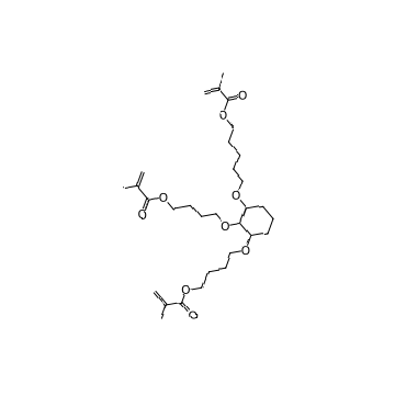 C=C(C)C(=O)OCCCCCOC1CCCC(OCCCCOC(=O)C(=C)C)C1OCCCCOC(=O)C(=C)C